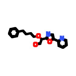 O=CC(OCCCCc1ccccc1)c1ncc(-c2ccccn2)o1